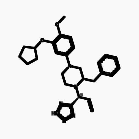 COc1ccc(N2CCN([C@H](C=O)c3nn[nH]n3)C(Cc3ccccc3)C2)cc1OC1CCCC1